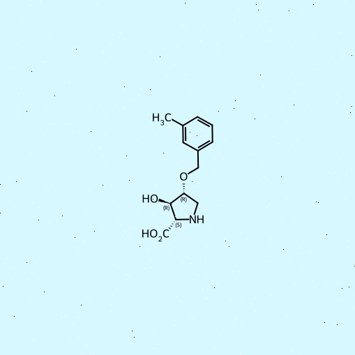 Cc1cccc(CO[C@@H]2CN[C@H](C(=O)O)[C@H]2O)c1